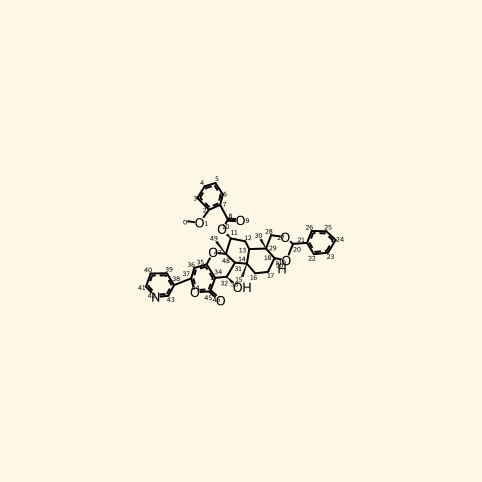 COc1ccccc1C(=O)O[C@H]1CC2[C@](C)(CC[C@@H]3OC(c4ccccc4)OC[C@@]23C)C2[C@@H](O)c3c(cc(-c4cccnc4)oc3=O)O[C@@]21C